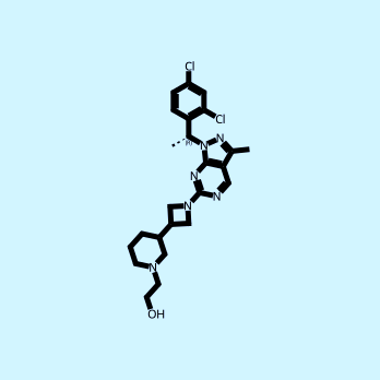 Cc1nn([C@H](C)c2ccc(Cl)cc2Cl)c2nc(N3CC(C4CCCN(CCO)C4)C3)ncc12